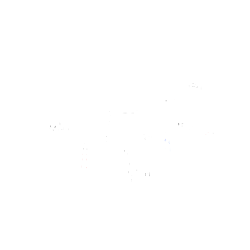 COC(=O)C1=C(C(=O)O)C(NC(=O)OC(C)(C)C)CC1